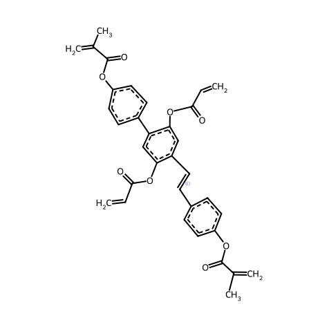 C=CC(=O)Oc1cc(-c2ccc(OC(=O)C(=C)C)cc2)c(OC(=O)C=C)cc1/C=C/c1ccc(OC(=O)C(=C)C)cc1